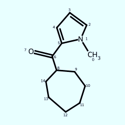 Cn1cccc1C(=O)C1CCCCCC1